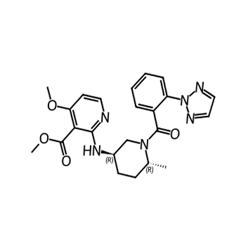 COC(=O)c1c(OC)ccnc1N[C@@H]1CC[C@@H](C)N(C(=O)c2ccccc2-n2nccn2)C1